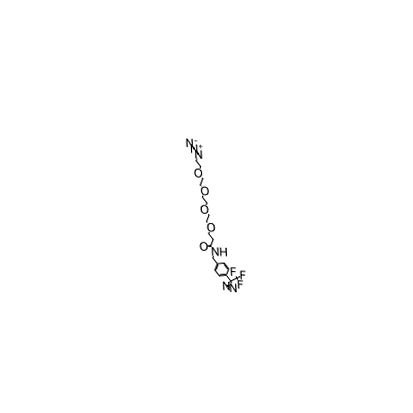 [N-]=[N+]=NCCOCCOCCOCCOCCC(=O)NCc1ccc(C2(C(F)(F)F)N=N2)cc1